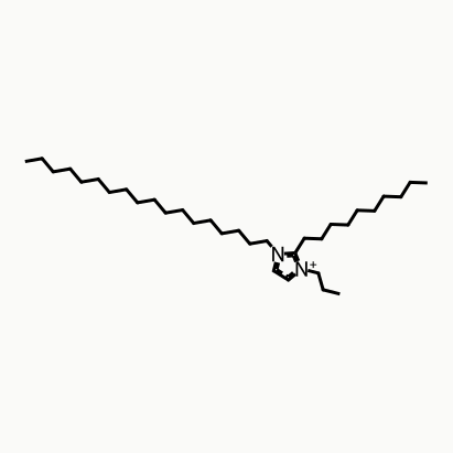 CCCCCCCCCCCCCCCCCCn1cc[n+](CCC)c1CCCCCCCCCC